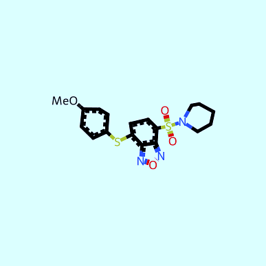 COc1ccc(Sc2ccc(S(=O)(=O)N3CCCCC3)c3nonc23)cc1